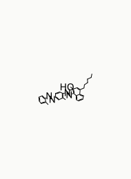 CCCCCCc1cc(O)c(/N=N/c2ccc(/N=N/c3ccccc3C)cc2C)c2ccccc12